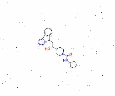 O=C(NC1CCCC1)N1CCC([C@H](O)CC2c3ccccc3-c3cncn32)CC1